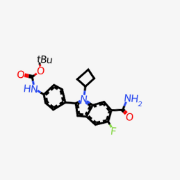 CC(C)(C)OC(=O)Nc1ccc(-c2cc3cc(F)c(C(N)=O)cc3n2C2CCC2)cc1